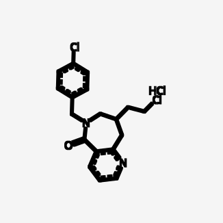 Cl.O=C1c2cccnc2CC(CCCl)CN1Cc1ccc(Cl)cc1